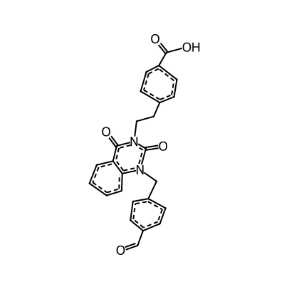 O=Cc1ccc(Cn2c(=O)n(CCc3ccc(C(=O)O)cc3)c(=O)c3ccccc32)cc1